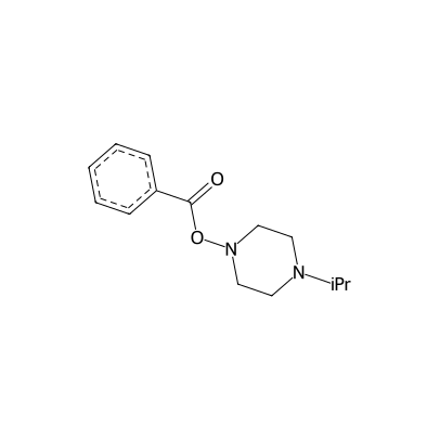 CC(C)N1CCN(OC(=O)c2ccccc2)CC1